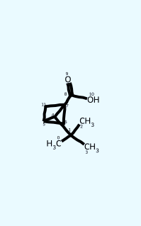 CC(C)(C)C1C2CC1(C(=O)O)C2